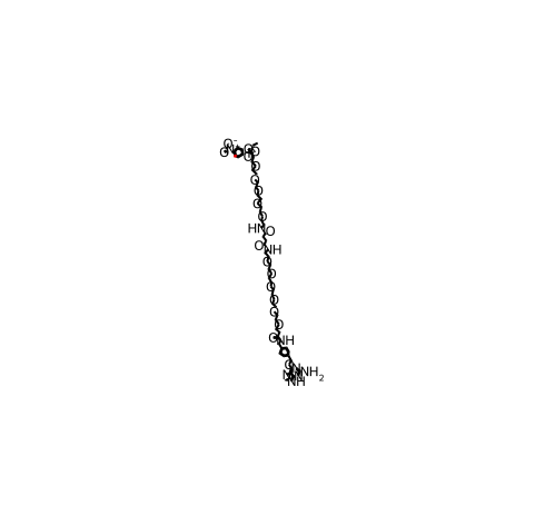 CCOP(=O)(CCOCCOCCOCCOCCOCCNC(=O)CCC(=O)NCCOCCOCCOCCOCCOCCOCCC(=O)NCc1ccc(COc2nc(N)nc3[nH]cnc23)cc1)Oc1ccc([N+](=O)[O-])cc1